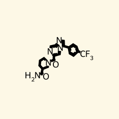 NC(=O)C1CCCN(C(=O)c2cn3c(-c4ccc(C(F)(F)F)cc4)cnc3cn2)C1